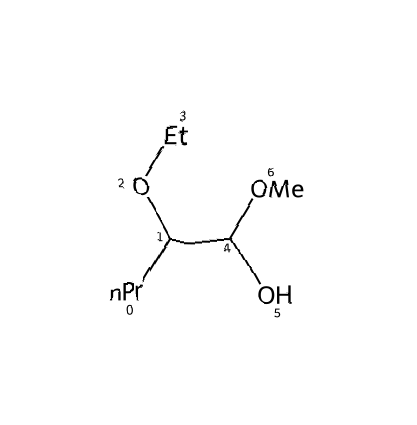 CCCC(OCC)C(O)OC